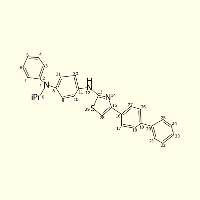 CC(C)N(c1ccccc1)c1ccc(Nc2nc(-c3ccc(-c4ccccc4)cc3)cs2)cc1